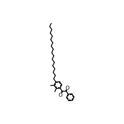 CCCCCCCCCCCCCCCCCCc1ccc(C(=O)C(=O)c2ccccc2)c(C)c1C